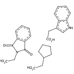 O=C(O)CC1CCCC1.O=C(O)CN1C(=O)c2ccccc2C1=O.O=C(O)Cc1c[nH]c2ccccc12